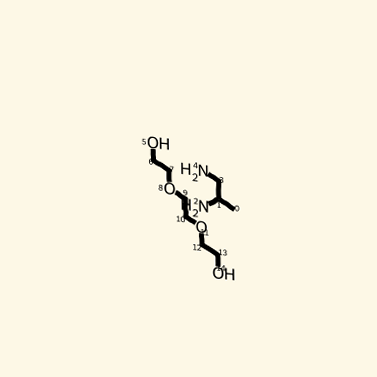 CC(N)CN.OCCOCCOCCO